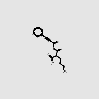 CCCCC(C(=O)O)C(=O)NC(=O)C#Cc1ccccc1